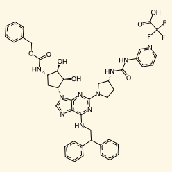 O=C(Nc1cccnc1)N[C@@H]1CCN(c2nc(NCC(c3ccccc3)c3ccccc3)c3ncn([C@@H]4C[C@H](NC(=O)OCc5ccccc5)[C@@H](O)[C@H]4O)c3n2)C1.O=C(O)C(F)(F)F